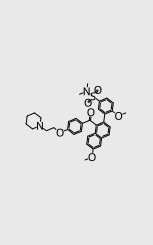 COc1ccc2c(C(=O)c3ccc(OCCN4CCCCC4)cc3)c(-c3cc(S(=O)(=O)N(C)C)ccc3OC)ccc2c1